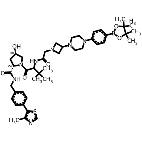 Cc1ncsc1-c1ccc(CNC(=O)[C@@H]2C[C@@H](O)CN2C(=O)C(NC(=O)CN2CC(N3CCN(c4ccc(B5OC(C)(C)C(C)(C)O5)cc4)CC3)C2)C(C)(C)C)cc1